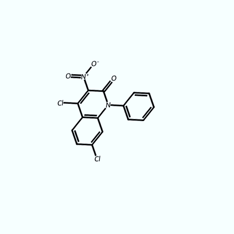 O=c1c([N+](=O)[O-])c(Cl)c2ccc(Cl)cc2n1-c1ccccc1